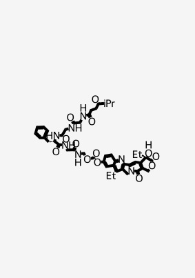 CCc1c2c(nc3ccc(OC(=O)OCNC(=O)CNC(=O)[C@H](Cc4ccccc4)NC(=O)CNC(=O)CNC(=O)CCC(=O)C(C)C)cc13)-c1cc3c(c(=O)n1C2)COC(=O)[C@]3(O)CC